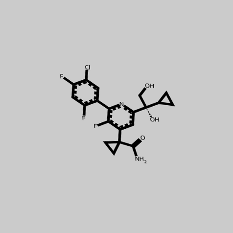 NC(=O)C1(c2cc([C@@](O)(CO)C3CC3)nc(-c3cc(Cl)c(F)cc3F)c2F)CC1